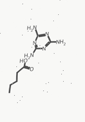 CCCCC(=O)O.Nc1nc(N)nc(N)n1